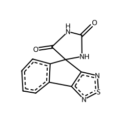 O=C1NC(=O)C2(N1)c1ccccc1-c1nsnc12